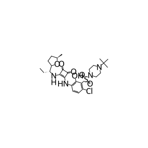 CC[C@@H](Nc1c(Nc2ccc(Cl)c(S(=O)(=O)N3CCN(C(C)(C)C)CC3)c2O)c(=O)c1=O)C1CC[C@@H](C)O1